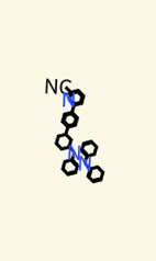 N#Cc1cccc(-c2ccc(C3CCCC(N4C5=C(CCC=C5)N(C5=CC=CCC5)C5=C4CCC=C5)C3)cc2)n1